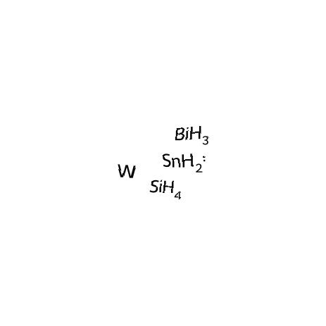 [BiH3].[SiH4].[SnH2].[W]